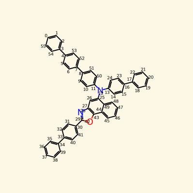 c1ccc(-c2ccc(-c3ccc(N(c4ccc(-c5ccccc5)cc4)c4cc5nc(-c6ccc(-c7ccccc7)cc6)oc5c5ccccc45)cc3)cc2)cc1